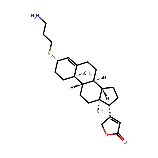 C[C@]12CC[C@H]3[C@@H](CCC4=C[C@@H](SCCCN)CC[C@@]43C)[C@@H]1CC[C@@H]2C1=CC(=O)OC1